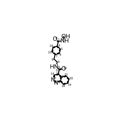 O=C(NO)c1ccc(CCNC(=O)c2cnnc3ccccc23)cc1